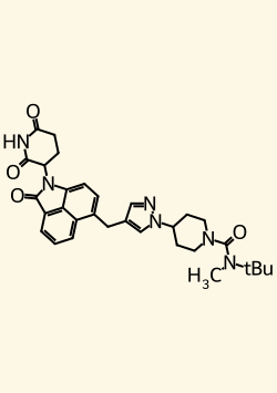 CN(C(=O)N1CCC(n2cc(Cc3ccc4c5c(cccc35)C(=O)N4C3CCC(=O)NC3=O)cn2)CC1)C(C)(C)C